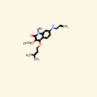 C=CCNc1ccc2c(OCC=C(C)C)c(OC=O)c(=O)n(CCCC)c2c1